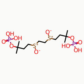 CC(C)(CC[S+]([O-])CC[S+]([O-])CCC(C)(C)OP(=O)(O)O)OP(=O)(O)O